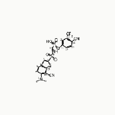 CN(C)c1ccc2cc(S(=O)(=O)NCP(=O)(O)Oc3ccc(C#N)c(C(F)(F)F)c3)sc2c1C#N